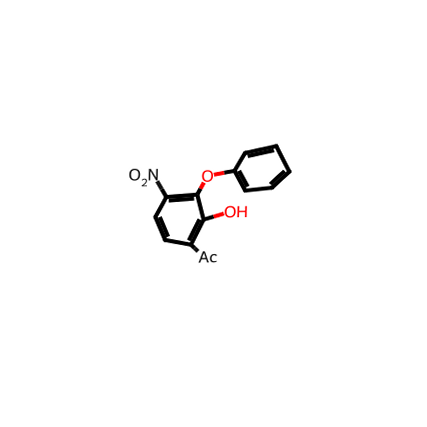 CC(=O)c1ccc([N+](=O)[O-])c(Oc2ccccc2)c1O